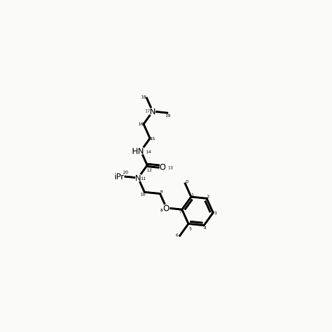 Cc1cccc(C)c1OCCN(C(=O)NCCN(C)C)C(C)C